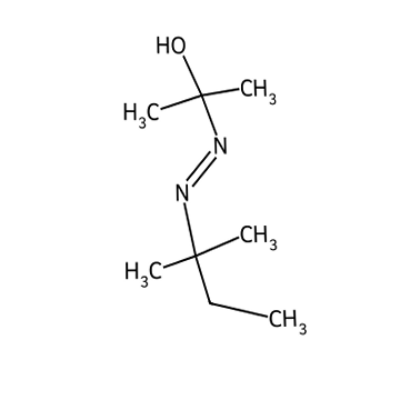 CCC(C)(C)N=NC(C)(C)O